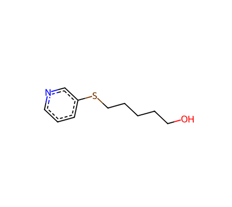 OCCCCCSc1cccnc1